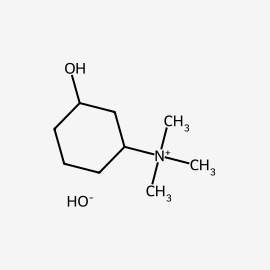 C[N+](C)(C)C1CCCC(O)C1.[OH-]